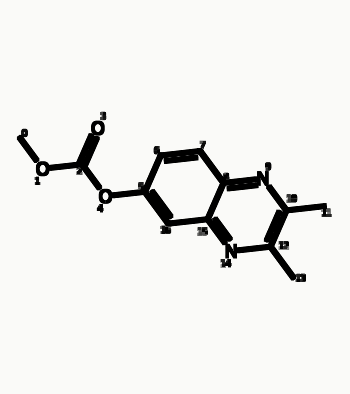 COC(=O)Oc1ccc2nc(C)c(C)nc2c1